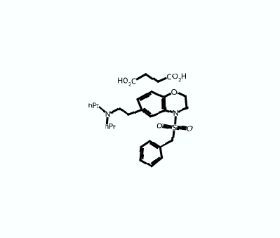 CCCN(CCC)CCc1ccc2c(c1)N(S(=O)(=O)Cc1ccccc1)CCO2.O=C(O)CCC(=O)O